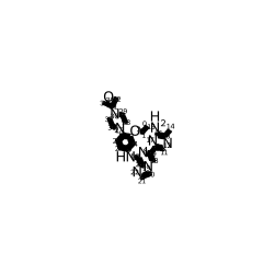 CCOc1cc(Nc2nc(-c3cnc(C)c(N)n3)cn3ccnc23)ccc1N1CCN(C2COC2)CC1